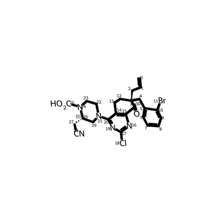 C=CC[C@]1(Cc2ccccc2Br)CCc2c(nc(Cl)nc2N2CCN(C(=O)O)[C@@H](CC#N)C2)C1=O